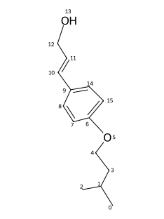 CC(C)CCOc1ccc(/C=C/CO)cc1